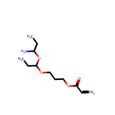 C=CC(=O)OCCCOC(CC)OC(N)CC